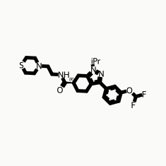 CC(C)n1nc(-c2cccc(OC(F)F)c2)c2c1C[C@H](C(=O)NCCN1CCSCC1)CC2